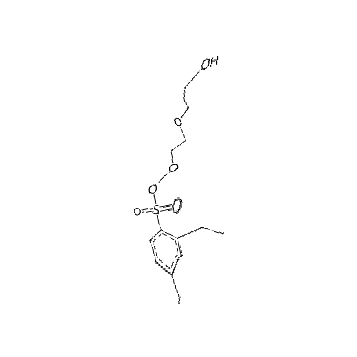 CCc1cc(C)ccc1S(=O)(=O)OOCCOCCO